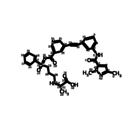 Cc1cc(C(=O)Nc2cccc(C#Cc3cncc(C(=O)N=S(=O)(CCCN[C@@H](C)C(=O)O)c4ccccc4)c3)c2)n(C)n1